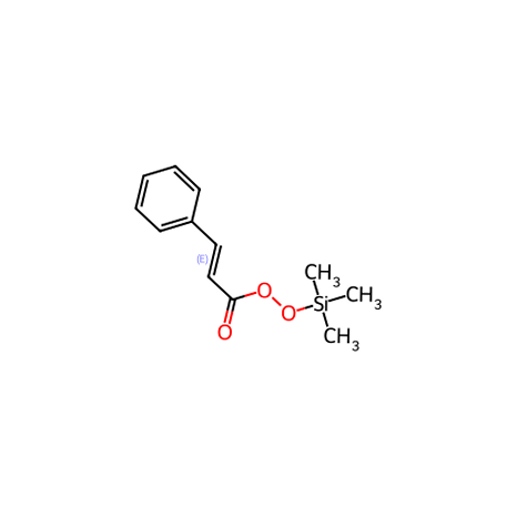 C[Si](C)(C)OOC(=O)/C=C/c1ccccc1